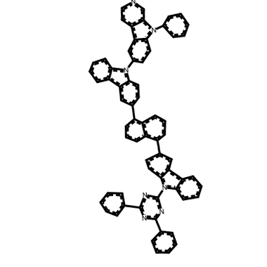 c1ccc(-c2nc(-c3ccccc3)nc(-n3c4ccccc4c4cc(-c5cccc6c(-c7ccc8c(c7)c7ccccc7n8-c7ccc8c(c7)c7ccncc7n8-c7ccccc7)cccc56)ccc43)n2)cc1